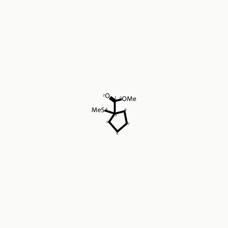 COC(=O)C1(SC)CCCC1